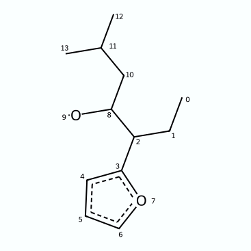 CCC(c1ccco1)C([O])CC(C)C